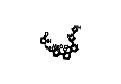 COc1nc(-c2cccc(-c3ccnc(-c4cnn(C5CNC5)c4)c3Cl)c2Cl)ccc1CNC[C@@H]1CCC(=O)N1